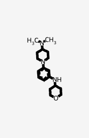 CN(C)C1CCN(c2cc[c]c(NC3CCOCC3)c2)CC1